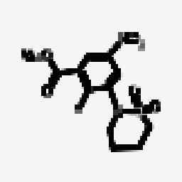 COC(=O)c1cc([N+](=O)[O-])cc(N2CCCCS2(=O)=O)c1F